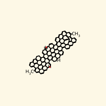 Cc1cc2ccc3c4c5c6c7c(c8c9c%10c%11c%12c%13c(ccc%14c%15c%16ccc%17cc%18cccc%19c%20c(C)cc%21ccc%22cc%23ccc%24c%25c%26c%27c%28c%29c%30c%31c(c%32c%33c%34c%35c(cc%36cccc%37c1c(c24)c(c%35c%36%37)c5c%34c7c%32c8c%31c%10c%29c%12c%27c(c%14%13)c%25c%15c1c%24c%23c2c%22c%21c%20c4c(c%18%19)c%17c%16c1c24)CC%33)=CC[C@H]%30C[C@H]%28C=C%26)C[C@H]%11CC9)=CC[C@H]6C=3